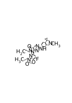 C=CCn1c(=O)c2cnc(Nc3ccc4c(c3)CN(C)CC43CC3)nc2n1-c1cc(F)c2c(n1)N(CCC)C(=O)CO2